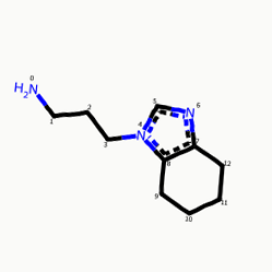 NCCCn1cnc2c1CCCC2